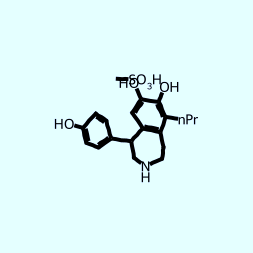 CCCc1c(O)c(O)cc2c1CCNCC2c1ccc(O)cc1.CS(=O)(=O)O